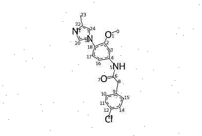 COc1cc(NC(=O)Cc2ccc(Cl)cc2)ccc1-n1cnc(C)c1